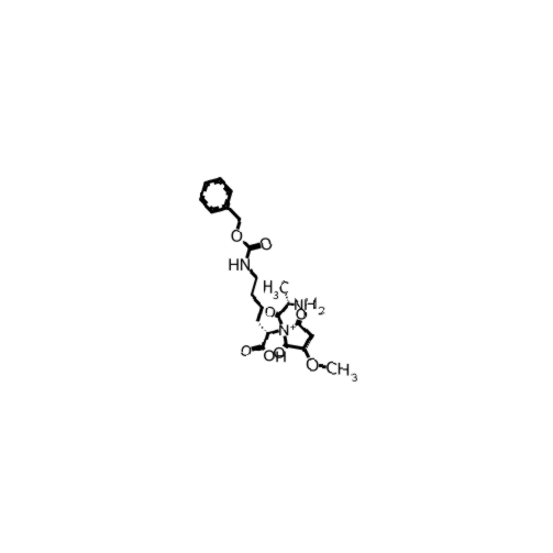 COC1CC(=O)[N+](C(=O)[C@H](C)N)([C@@H](CCCCNC(=O)OCc2ccccc2)C(=O)O)C1=O